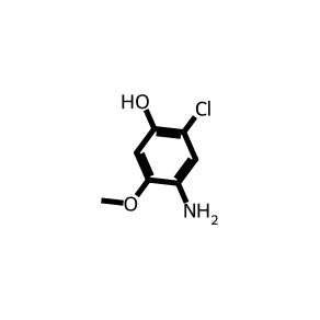 COc1cc(O)c(Cl)cc1N